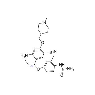 C/C=C(/Oc1ccc(NC(N)=O)c(C)c1)c1cc(C#N)c(OCC2CCN(C)CC2)cc1N